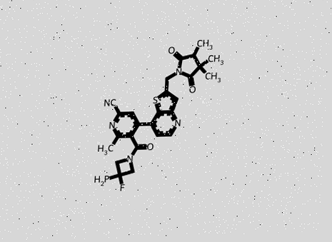 Cc1nc(C#N)cc(-c2ccnc3cc(CN4C(=O)C(C)C(C)(C)C4=O)sc23)c1C(=O)N1CC(F)(P)C1